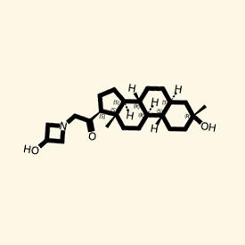 C[C@@]1(O)CC[C@H]2[C@@H](CC[C@@H]3[C@@H]2CC[C@]2(C)[C@@H](C(=O)CN4CC(O)C4)CC[C@@H]32)C1